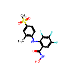 Cc1cc(S(C)(=O)=O)ccc1Nc1c(C(=O)NO)cc(F)c(F)c1F